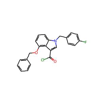 O=C(Cl)c1cn(Cc2ccc(F)cc2)c2cccc(OCc3ccccc3)c12